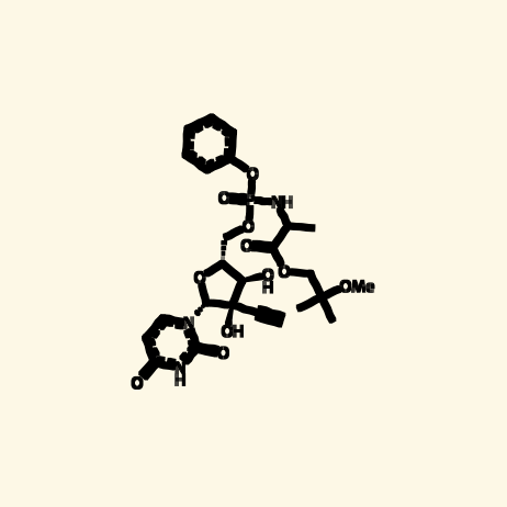 C#C[C@@]1(O)[C@H](O)[C@@H](COP(=O)(NC(C)C(=O)OCC(C)(C)OC)Oc2ccccc2)O[C@H]1n1ccc(=O)[nH]c1=O